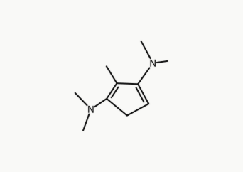 CC1=C(N(C)C)CC=C1N(C)C